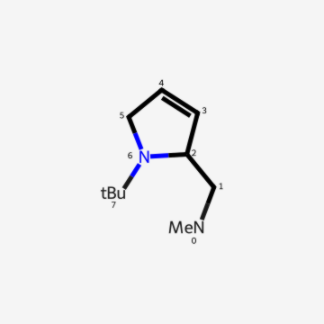 CNCC1C=CCN1C(C)(C)C